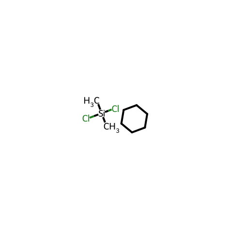 C1CCCCC1.C[Si](C)(Cl)Cl